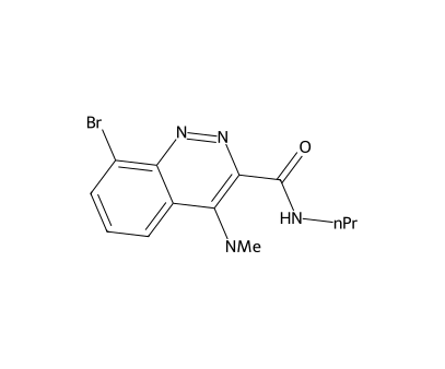 CCCNC(=O)c1nnc2c(Br)cccc2c1NC